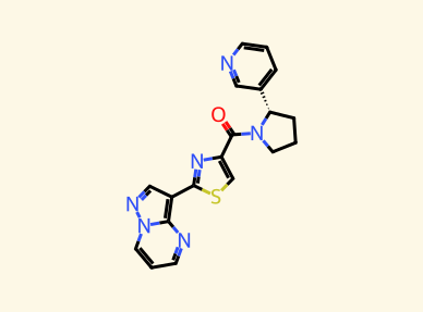 O=C(c1csc(-c2cnn3cccnc23)n1)N1CCC[C@H]1c1cccnc1